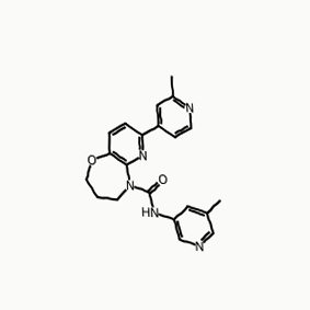 Cc1cncc(NC(=O)N2CCCOc3ccc(-c4ccnc(C)c4)nc32)c1